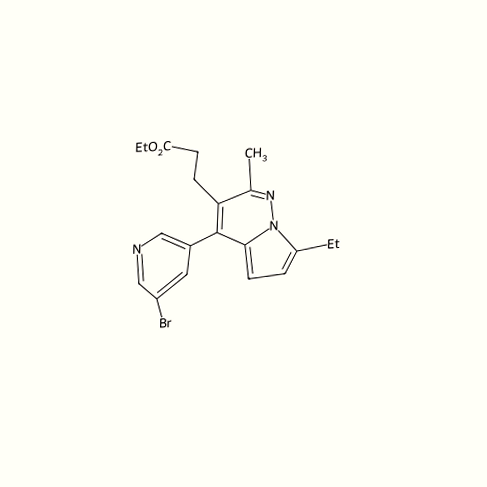 CCOC(=O)CCc1c(C)nn2c(CC)ccc2c1-c1cncc(Br)c1